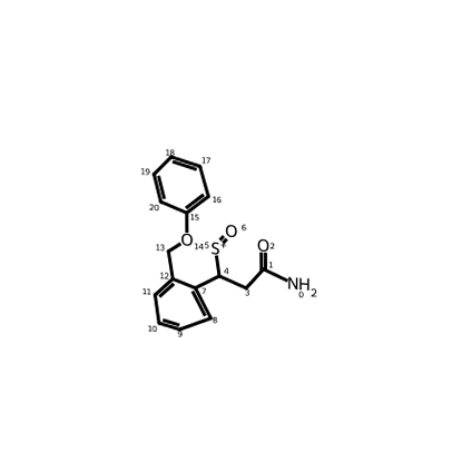 NC(=O)CC([S+]=O)c1ccccc1COc1ccccc1